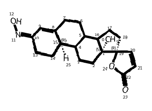 C[C@]12CCC3C(CCC4=CC(=NO)CC[C@@H]43)C1CC[C@@]21C=CC(=O)O1